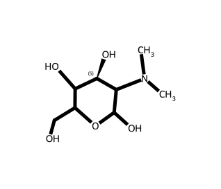 CN(C)C1C(O)OC(CO)C(O)[C@H]1O